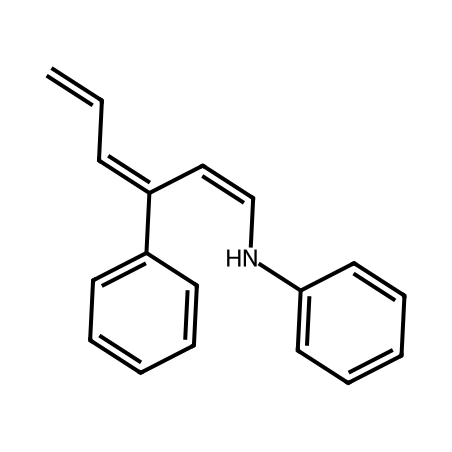 C=C/C=C(\C=C/Nc1ccccc1)c1ccccc1